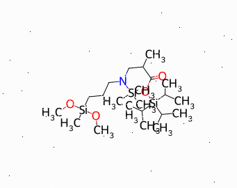 CO[Si](C)(CCCN(CC(C)C(=O)O[Si](C(C)C)(C(C)C)C(C)C)[Si](C)(C)C)OC